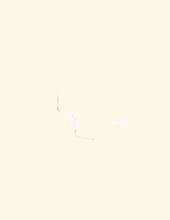 C=CC(=O)N1CC[C@@H](NC(C)C)C1